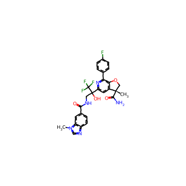 Cn1cnc2ccc(C(=O)NCC(O)(c3cc4c(c(-c5ccc(F)cc5)n3)OC[C@]4(C)C(N)=O)C(F)(F)F)cc21